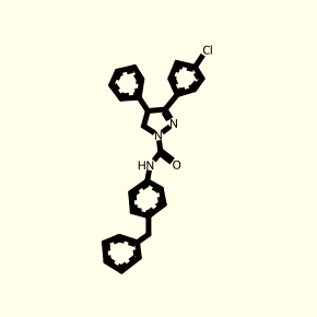 O=C(Nc1ccc(Cc2ccccc2)cc1)N1CC(c2ccccc2)C(c2ccc(Cl)cc2)=N1